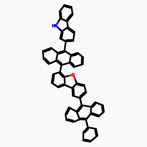 c1ccc(-c2c3ccccc3c(-c3ccc4oc5c(-c6c7ccccc7c(-c7ccc8c(c7)[nH]c7ccccc78)c7ccccc67)cccc5c4c3)c3ccccc23)cc1